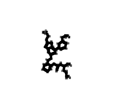 COCc1cc2cc(COc3ccccc3CC(=O)OC(C)COC)cc(-c3ccnc(CN)c3)c2o1